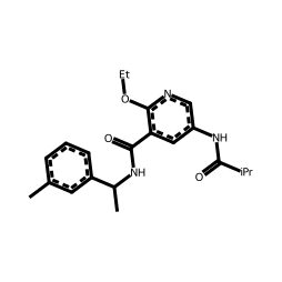 CCOc1ncc(NC(=O)C(C)C)cc1C(=O)NC(C)c1cccc(C)c1